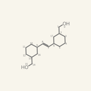 OCC1CCCC(C=CC2CCCC(CO)C2)C1